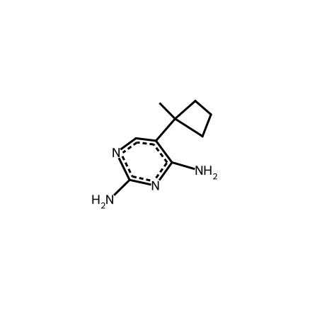 CC1(c2cnc(N)nc2N)CCC1